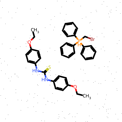 BrC[PH](c1ccccc1)(c1ccccc1)c1ccccc1.CCOc1ccc(NC(=S)Nc2ccc(OCC)cc2)cc1